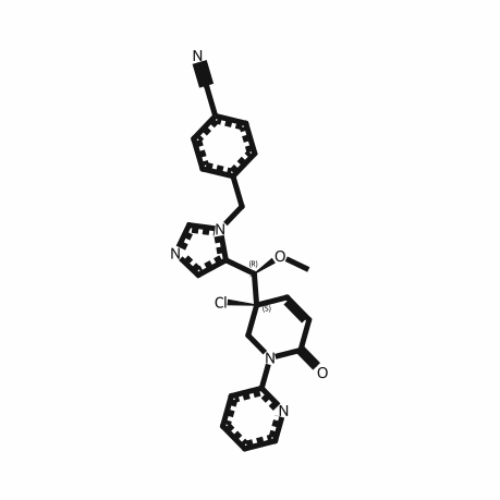 CO[C@H](c1cncn1Cc1ccc(C#N)cc1)[C@]1(Cl)C=CC(=O)N(c2ccccn2)C1